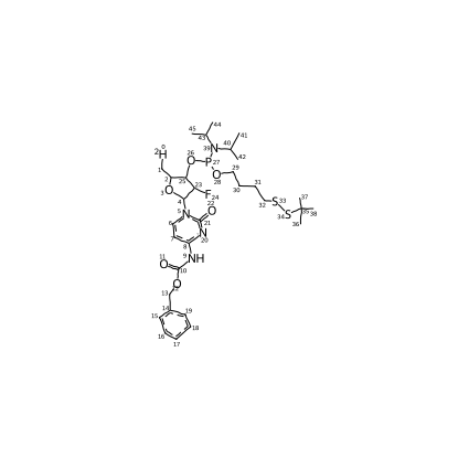 [2H]CC1OC(n2ccc(NC(=O)OCc3ccccc3)nc2=O)C(F)C1OP(OCCCCSSC(C)(C)C)N(C(C)C)C(C)C